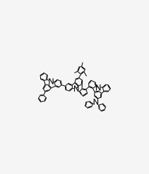 Cc1cc(C)c(-c2cc3c4cc(-c5ccc6c(c5)c5cc(-c7ccccc7)cc7c8ccccc8n6c75)ccc4n4c5cccc(-c6cccc7c6c6cc(N(c8ccccc8)c8ccccc8)cc8c9ccccc9n7c86)c5c(c2)c34)c(C)c1